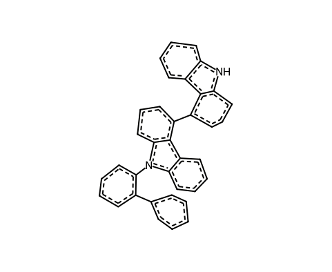 c1ccc(-c2ccccc2-n2c3ccccc3c3c(-c4cccc5[nH]c6ccccc6c45)cccc32)cc1